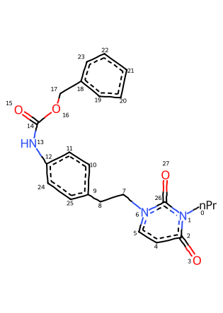 CCCn1c(=O)ccn(CCc2ccc(NC(=O)OCc3ccccc3)cc2)c1=O